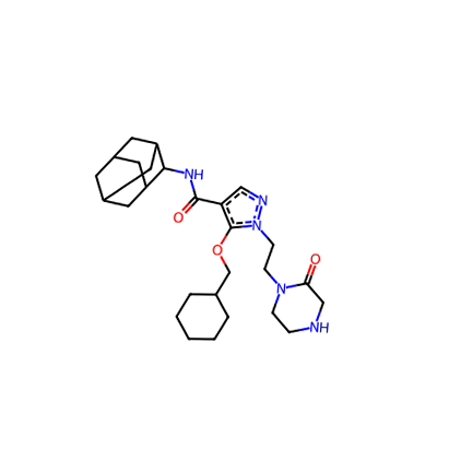 O=C(NC1C2CC3CC(C2)CC1C3)c1cnn(CCN2CCNCC2=O)c1OCC1CCCCC1